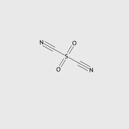 N#CS(=O)(=O)C#N